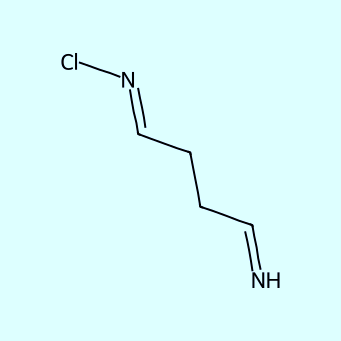 N=CCCC=NCl